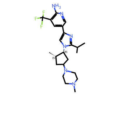 CC(C)c1nc(-c2cnc(N)c(C(F)(F)F)c2)cn1[C@@H]1CC(N2CCN(C)CC2)C[C@@H]1C